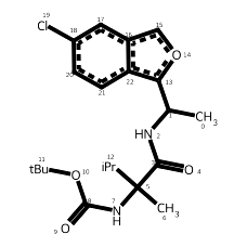 CC(NC(=O)C(C)(NC(=O)OC(C)(C)C)C(C)C)c1occ2cc(Cl)ccc12